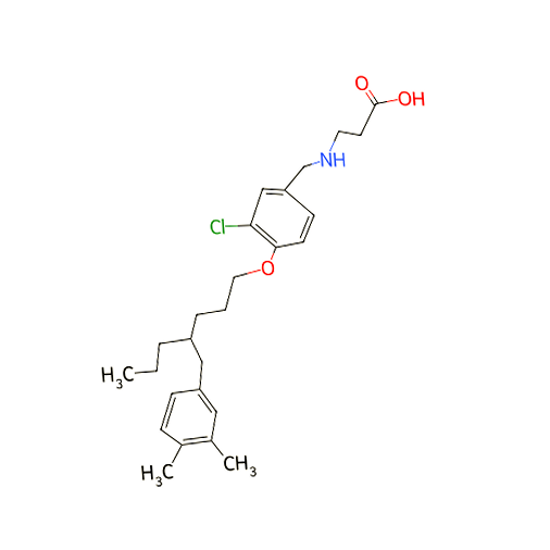 CCCC(CCCOc1ccc(CNCCC(=O)O)cc1Cl)Cc1ccc(C)c(C)c1